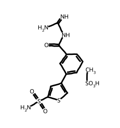 CS(=O)(=O)O.N=C(N)NC(=O)c1cccc(-c2csc(S(N)(=O)=O)c2)c1